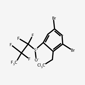 [O-][S+](c1cc(Br)[c]c(Br)c1CC(Cl)(Cl)Cl)C(F)(F)C(F)(F)C(F)(F)F